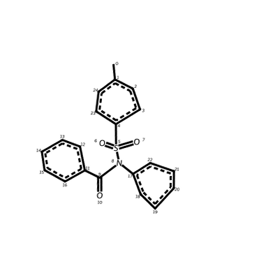 Cc1ccc(S(=O)(=O)N(C(=O)c2ccccc2)c2ccccc2)cc1